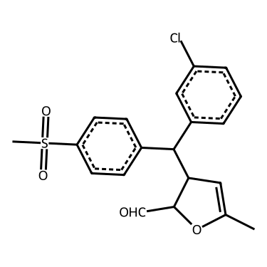 CC1=CC(C(c2ccc(S(C)(=O)=O)cc2)c2cccc(Cl)c2)C(C=O)O1